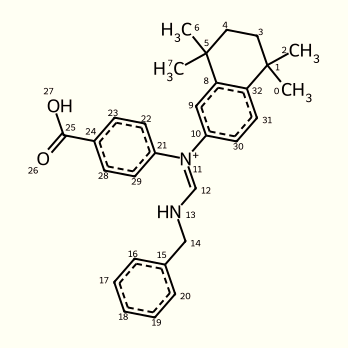 CC1(C)CCC(C)(C)c2cc([N+](=CNCc3ccccc3)c3ccc(C(=O)O)cc3)ccc21